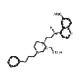 COc1ccc2nccc([C@H](F)CC[C@@H]3CCN(CCCc4ccccc4)C[C@@H]3CC(=O)O)c2c1